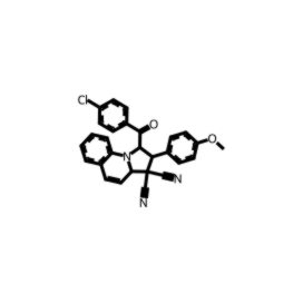 COc1ccc(C2C(C(=O)c3ccc(Cl)cc3)N3c4ccccc4C=CC3C2(C#N)C#N)cc1